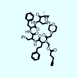 C#CCCC(=O)OCN(C(=O)CN1CCOCC1)C(CCc1ccccc1)C(=O)NC(CC(C)C)C(=O)NC(Cc1ccccc1)C(=O)NC(CC(C)C)C(=O)[C@@]1(C)CO1